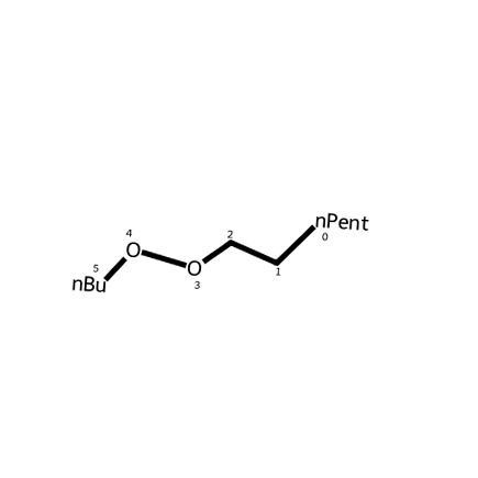 CCCCCCCOOCCCC